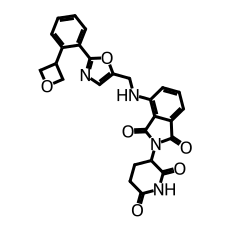 O=C1CCC(N2C(=O)c3cccc(NCc4cnc(-c5ccccc5C5COC5)o4)c3C2=O)C(=O)N1